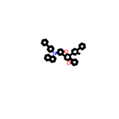 CC1C=C(C2c3c(oc4ccccc34)C=C3c4cc(N(c5ccc(-c6ccccc6)cc5)c5cccc6ccccc56)ccc4OC32)C=CC1c1ccccc1